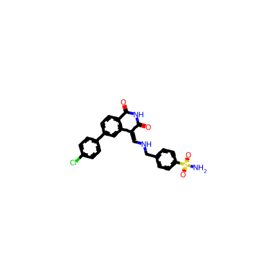 NS(=O)(=O)c1ccc(CNC=C2C(=O)NC(=O)c3ccc(-c4ccc(Cl)cc4)cc32)cc1